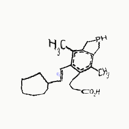 Cc1c(/C=C/C2CCCCC2)c(CC(=O)O)c(C)c2c1CPC2